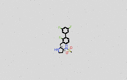 CS(=O)(=O)N[C@H]1CCN[C@H]1Cc1cccc(-c2cc(F)cc(F)c2)c1F